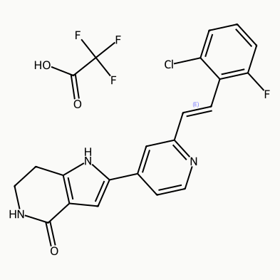 O=C(O)C(F)(F)F.O=C1NCCc2[nH]c(-c3ccnc(/C=C/c4c(F)cccc4Cl)c3)cc21